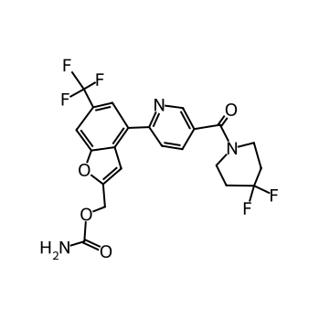 NC(=O)OCc1cc2c(-c3ccc(C(=O)N4CCC(F)(F)CC4)cn3)cc(C(F)(F)F)cc2o1